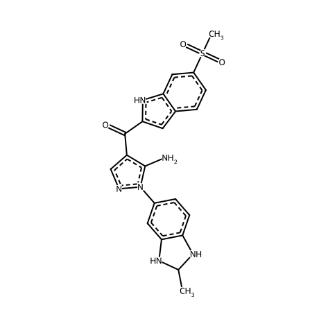 CC1Nc2ccc(-n3ncc(C(=O)c4cc5ccc(S(C)(=O)=O)cc5[nH]4)c3N)cc2N1